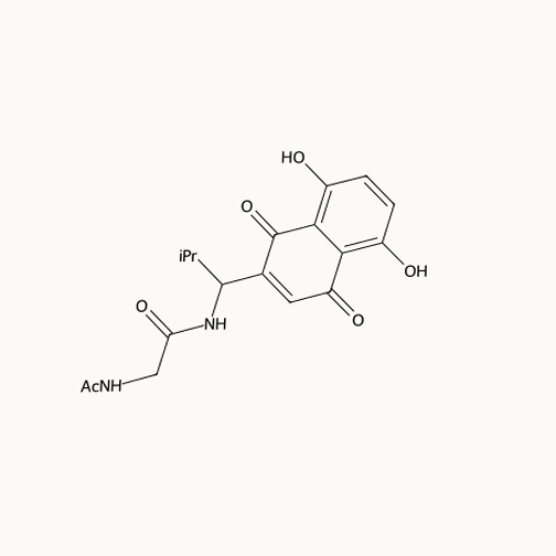 CC(=O)NCC(=O)NC(C1=CC(=O)c2c(O)ccc(O)c2C1=O)C(C)C